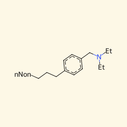 CCCCCCCCCCCCc1ccc(CN(CC)CC)cc1